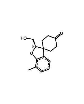 Cc1cccc2c1O[C@@H](CO)C21CCC(=O)CC1